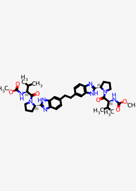 COC(=O)N[C@H](C(=O)N1CCC[C@H]1c1nc2ccc(CCc3ccc4nc([C@@H]5CCCN5C(=O)[C@@H](NC(=O)OC)C(C)C)[nH]c4c3)cc2[nH]1)C(C)C